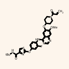 C=CC(=O)N1CCC(Oc2cc3c(Nc4ccc(Oc5nc(C(=O)NC(C)(C)C)cs5)cc4F)ncnc3cc2OC)CC1